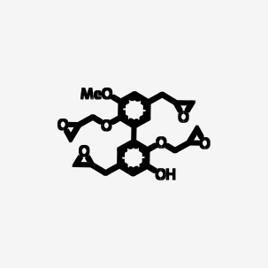 COc1cc(CC2CO2)cc(-c2cc(CC3CO3)cc(O)c2OCC2CO2)c1OCC1CO1